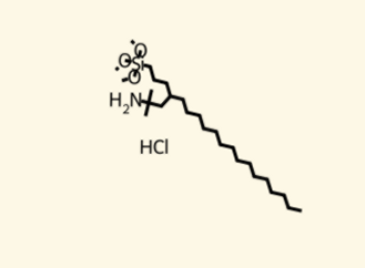 CCCCCCCCCCCCCCCC(CCC[Si](OC)(OC)OC)CC(C)(C)N.Cl